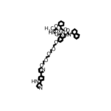 CN[C@@H](C)C(=O)N[C@H](C(=O)N1Cc2cc(OCCOCCOCCOCCOc3ccc(-c4ccc5c(c4)[nH]c4ccncc45)cn3)ccc2C[C@H]1C(=O)N[C@H]1CCCc2ccccc21)C1CCCCC1